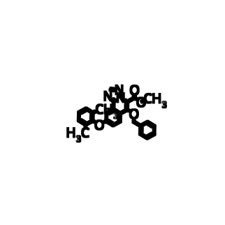 COC(=O)c1c(OCc2ccccc2)c2ccc(Oc3c(C)cccc3C)cc2c2ncnn12